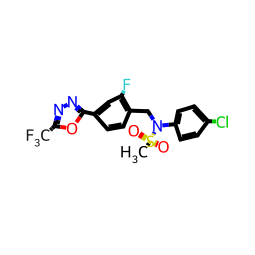 CS(=O)(=O)N(Cc1ccc(-c2nnc(C(F)(F)F)o2)cc1F)c1ccc(Cl)cc1